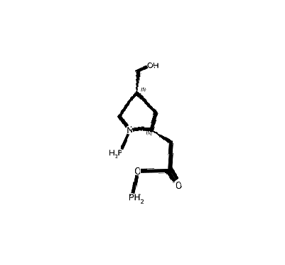 O=C(C[C@@H]1C[C@H](CO)CN1P)OP